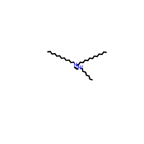 CCCCCCCCCCCCc1n(CCCCCCCCCCCC)cc[n+]1CCCCCCC